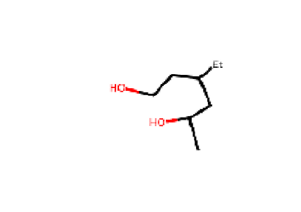 CCC(CCO)CC(C)O